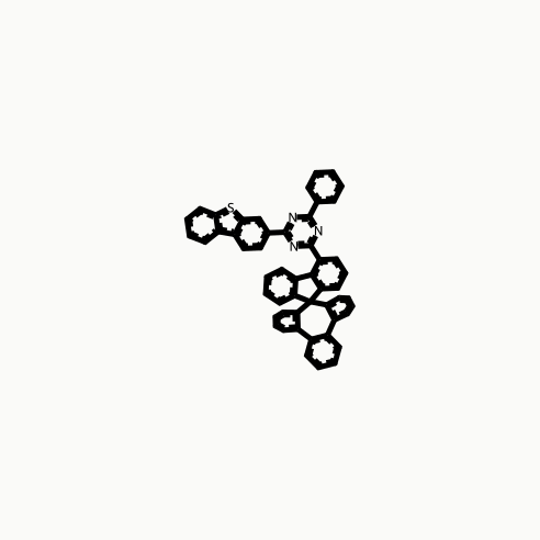 c1ccc(-c2nc(-c3ccc4c(c3)sc3ccccc34)nc(-c3cccc4c3-c3ccccc3C43c4ccccc4-c4ccccc4-c4ccccc43)n2)cc1